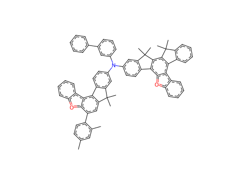 Cc1ccc(-c2cc3c(c4c2oc2ccccc24)-c2ccc(N(c4cccc(-c5ccccc5)c4)c4ccc5c(c4)C(C)(C)c4c6c(c7c(oc8ccccc87)c4-5)-c4ccccc4C6(C)C)cc2C3(C)C)c(C)c1